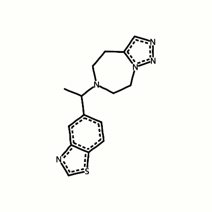 CC(c1ccc2scnc2c1)N1CCc2cnnn2CC1